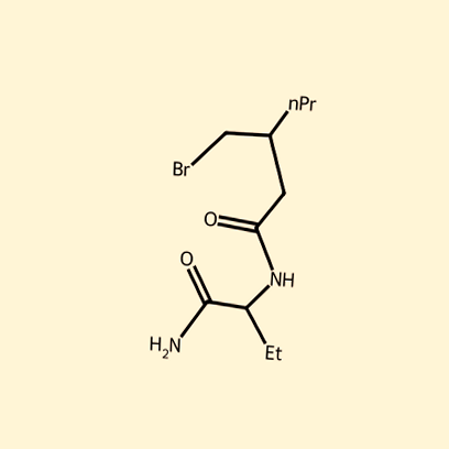 CCCC(CBr)CC(=O)NC(CC)C(N)=O